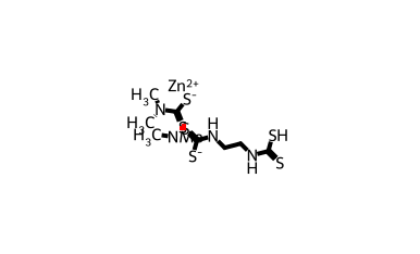 CN(C)C(=S)[S-].CNC.S=C([S-])NCCNC(=S)S.[Zn+2]